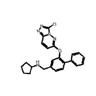 Clc1nnc2ccc(Oc3cc(CNC4CCCC4)ccc3-c3ccccc3)nn12